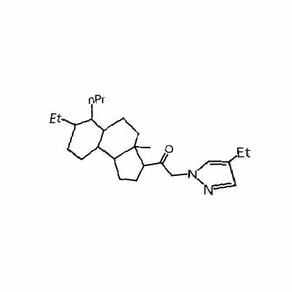 CCCC1C(CC)CCC2C1CCC1(C)C(C(=O)Cn3cc(CC)cn3)CCC21